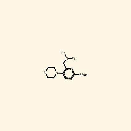 CCN(CC)Cc1nc(SC)ccc1N1CCOCC1